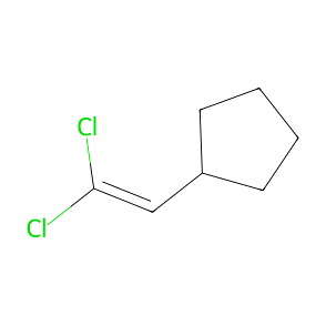 ClC(Cl)=CC1CCCC1